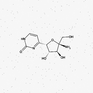 N[C@]1(CO)O[C@@H](c2cc[nH]c(=O)n2)[C@@H](O)[C@@H]1O